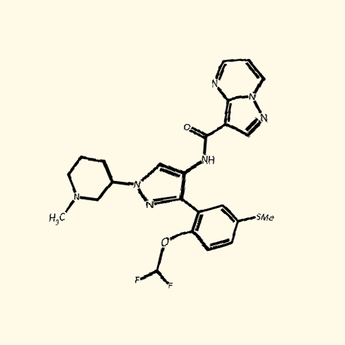 CSc1ccc(OC(F)F)c(-c2nn(C3CCCN(C)C3)cc2NC(=O)c2cnn3cccnc23)c1